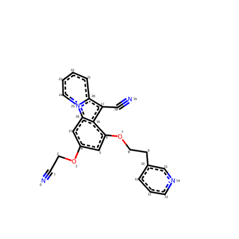 N#CCOc1cc(OCCc2cccnc2)c2c(C#N)c3ccccn3c2c1